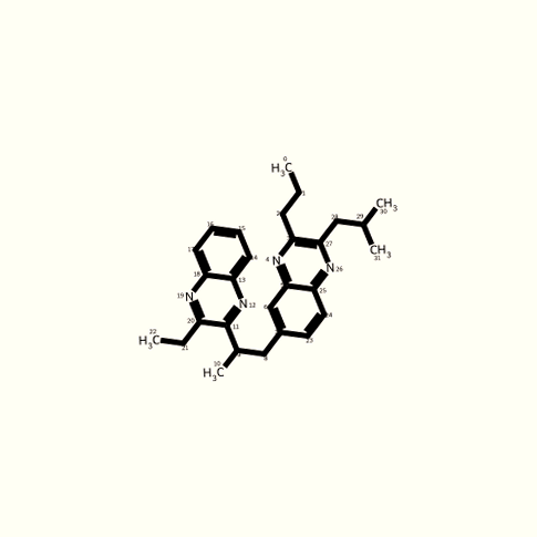 CCCc1nc2cc(CC(C)c3nc4ccccc4nc3CC)ccc2nc1CC(C)C